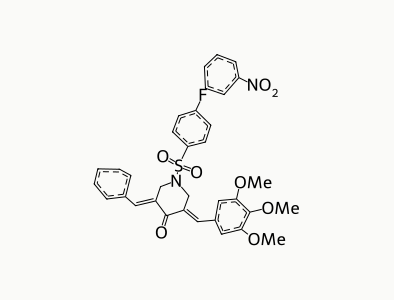 COc1cc(C=C2CN(S(=O)(=O)c3ccc(F)cc3)CC(=Cc3ccccc3)C2=O)cc(OC)c1OC.O=[N+]([O-])c1ccccc1